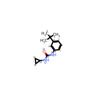 CC(C)(C)c1cccc(NC(=O)NC2CC2)c1